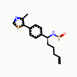 C=CCCC[C@H](N[SH]=O)c1ccc(-c2scnc2C)cc1